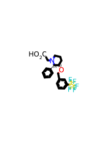 O=C(O)CN1CCC[C@H](OCc2cccc(S(F)(F)(F)(F)F)c2)[C@@H]1c1ccccc1